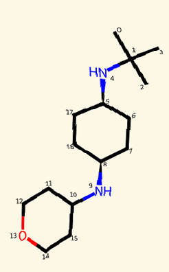 CC(C)(C)N[C@H]1CC[C@@H](NC2CCOCC2)CC1